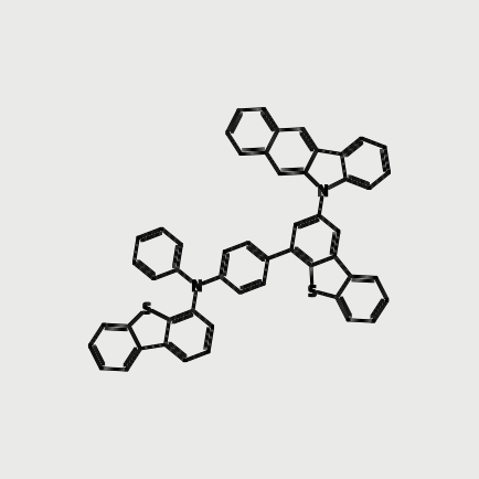 c1ccc(N(c2ccc(-c3cc(-n4c5ccccc5c5cc6ccccc6cc54)cc4c3sc3ccccc34)cc2)c2cccc3c2sc2ccccc23)cc1